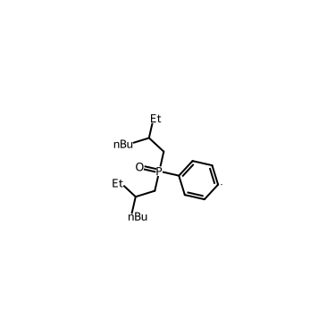 CCCCC(CC)CP(=O)(CC(CC)CCCC)c1cc[c]cc1